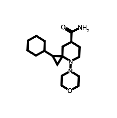 NC(=O)C1CCN(N2CCOCC2)C2(C1)CC2C1CCCCC1